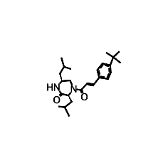 CC(C)C[C@H]1CN(C(=O)C=Cc2ccc(C(C)(C)C)cc2)[C@@H](CC(C)C)C(=O)N1